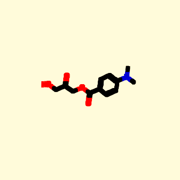 CN(C)c1ccc(C(=O)OCC(=O)CO)cc1